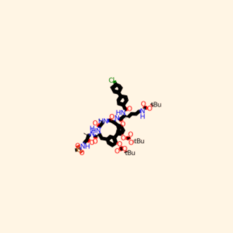 C[C@H](NC(=O)[C@@H]1Cc2ccc(OC(=O)OC(C)(C)C)c(c2)-c2cc(ccc2OC(=O)OC(C)(C)C)[C@H](N(C)C(=O)[C@H](CCCCNC(=O)OC(C)(C)C)NC(=O)c2ccc(-c3ccc(Cl)cc3)cc2)C(=O)N[C@@H](C)C(=O)N1)C(=O)CNS(C)(=O)=O